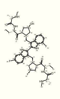 CC[C@H](NC(=O)[C@H](C)NC)C(=O)N1C[C@@H](O)C[C@H]1Cc1c(-c2[nH]c3cc(F)ccc3c2C[C@@H]2C[C@H](F)CN2C(=O)[C@H](CC)NC(=O)[C@H](C)NC)[nH]c2c(F)cccc12